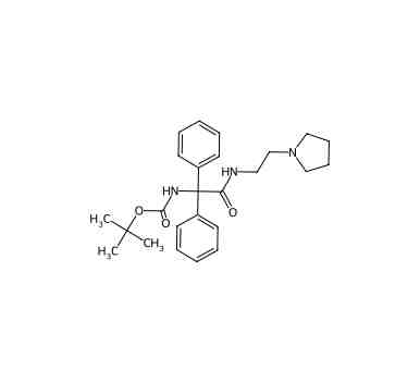 CC(C)(C)OC(=O)NC(C(=O)NCCN1CCCC1)(c1ccccc1)c1ccccc1